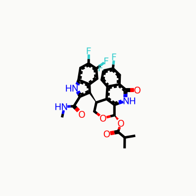 CNC(=O)c1[nH]c2cc(F)c(F)cc2c1[C@@H]1CO[C@H](OC(=O)C(C)C)c2[nH]c(=O)c3cc(F)c(F)cc3c21